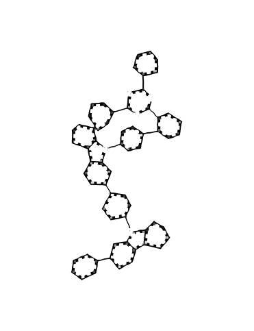 c1ccc(-c2ccc3c4ccccc4n(-c4ccc(-c5ccc6c7ccccc7n(-c7ccc(-c8ccccc8-c8nc(-c9ccccc9)nc(-c9ccccc9)n8)cc7)c6c5)cc4)c3c2)cc1